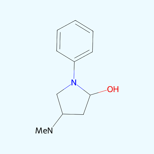 CNC1CC(O)N(c2ccccc2)C1